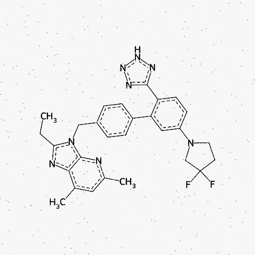 CCc1nc2c(C)cc(C)nc2n1Cc1ccc(-c2cc(N3CCC(F)(F)C3)ccc2-c2nn[nH]n2)cc1